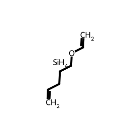 C=CCCCOC=C.[SiH4]